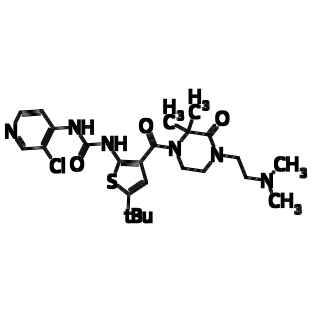 CN(C)CCN1CCN(C(=O)c2cc(C(C)(C)C)sc2NC(=O)Nc2ccncc2Cl)C(C)(C)C1=O